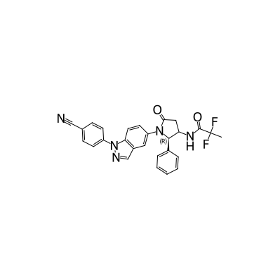 CC(F)(F)C(=O)NC1CC(=O)N(c2ccc3c(cnn3-c3ccc(C#N)cc3)c2)[C@@H]1c1ccccc1